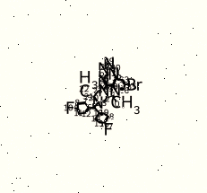 CC[C@H]1CN(C(c2ccc(F)cc2)c2ccc(F)cc2)[C@H](CC)CN1c1nc2nncn2c2cc(Br)cnc12